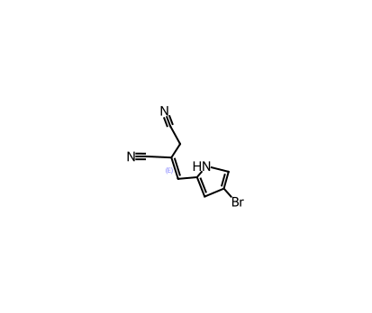 N#CC/C(C#N)=C\c1cc(Br)c[nH]1